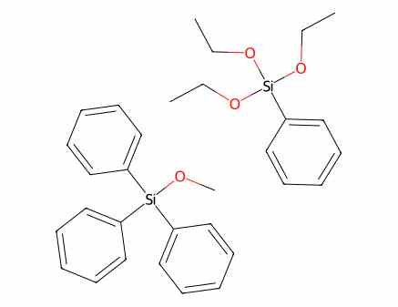 CCO[Si](OCC)(OCC)c1ccccc1.CO[Si](c1ccccc1)(c1ccccc1)c1ccccc1